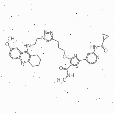 CNC(=O)c1sc(-c2ccnc(NC(=O)C3CC3)c2)nc1OCCCc1cn(CCNc2c3c(nc4ccc(OC)cc24)CCCC3)nn1